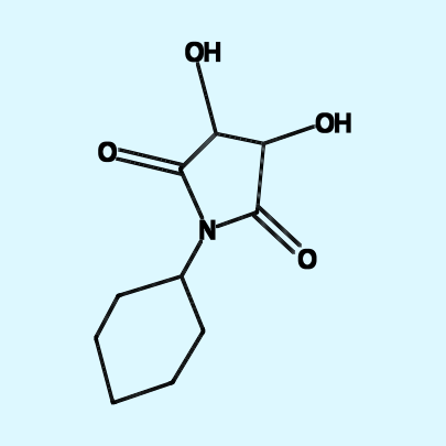 O=C1C(O)C(O)C(=O)N1C1CCCCC1